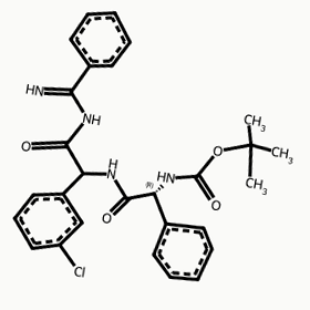 CC(C)(C)OC(=O)N[C@@H](C(=O)NC(C(=O)NC(=N)c1ccccc1)c1cccc(Cl)c1)c1ccccc1